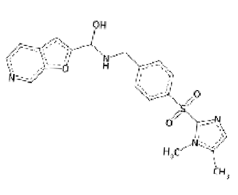 Cc1cnc(S(=O)(=O)c2ccc(CNC(O)c3cc4ccncc4o3)cc2)n1C